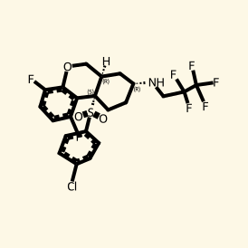 O=S(=O)(c1ccc(Cl)cc1)[C@@]12CC[C@@H](NCC(F)(F)C(F)(F)F)C[C@@H]1COc1c(F)ccc(F)c12